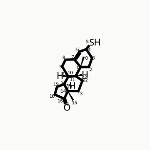 C[C@]12CCC(S)C=C1CC[C@@H]1[C@H]2CC[C@]2(C)C(=O)CC[C@@H]12